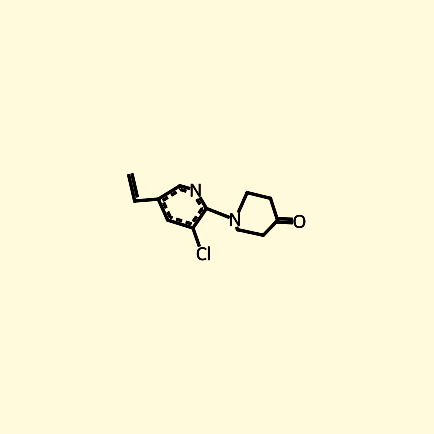 C=Cc1cnc(N2CCC(=O)CC2)c(Cl)c1